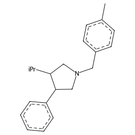 Cc1ccc(CN2CC(c3ccccc3)C(C(C)C)C2)cc1